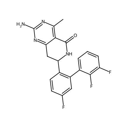 Cc1nc(N)nc2c1C(=O)NC(c1ccc(F)cc1-c1cccc(F)c1F)C2